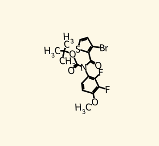 COc1ccc(N(C(=O)OC(C)(C)C)C(=O)c2sccc2Br)c(F)c1F